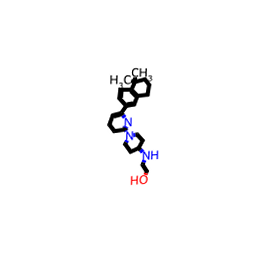 CC1(C)CCCc2cc(C3=CCCC(N4CCC(NCCO)CC4)=N3)ccc21